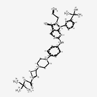 C=CCn1c(=O)c2cnc(Nc3ccc(N4CCN(C5CN(C(=O)OC(C)(C)C)C5)CC4)cc3)nc2n1-c1cccc(C(C)(C)O)n1